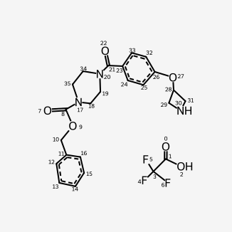 O=C(O)C(F)(F)F.O=C(OCc1ccccc1)N1CCN(C(=O)c2ccc(OC3CNC3)cc2)CC1